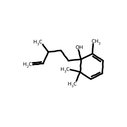 C=CC(C)CCC1(O)C(C)=CC=CC1(C)C